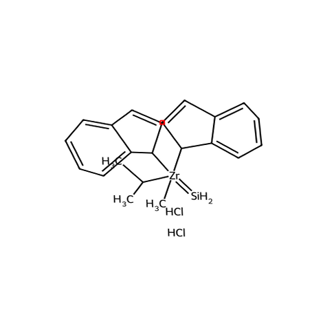 C[CH](C)[Zr]([CH3])(=[SiH2])([CH]1C=Cc2ccccc21)[CH]1C=Cc2ccccc21.Cl.Cl